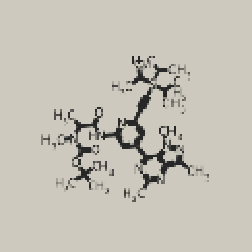 Cc1nc(-c2cc(C#C[Si](C(C)C)(C(C)C)C(C)C)nc(NC(=O)C(C)N(C)C(=O)OC(C)(C)C)c2)c2c(n1)c(C)nn2C